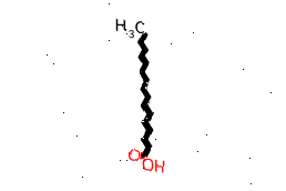 CCCCC=CCCCCCCCCCCC(=O)O